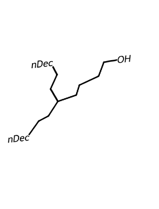 CCCCCCCCCCCCC(CCCCO)CCCCCCCCCCCC